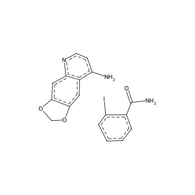 NC(=O)c1ccccc1I.Nc1ccnc2cc3c(cc12)OCO3